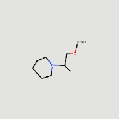 CCCCCCOCC(C)N1CCCCC1